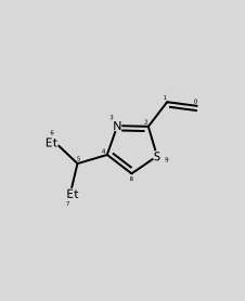 C=Cc1nc(C(CC)CC)cs1